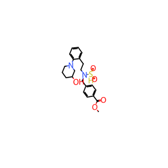 COC(=O)c1ccc(CN(CCc2ccccc2N2CCCC(O)C2)[SH](=O)=O)cc1